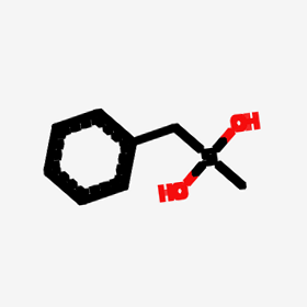 C[Si](O)(O)Cc1ccccc1